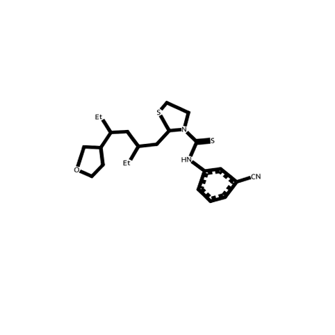 CCC(CC(CC)C1CCOC1)CC1SCCN1C(=S)Nc1cccc(C#N)c1